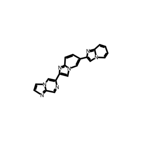 c1ccn2cc(-c3ccc4nc(-c5cn6ccnc6cn5)cn4c3)nc2c1